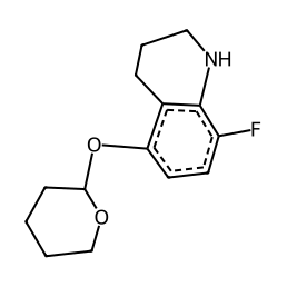 Fc1ccc(OC2CCCCO2)c2c1NCCC2